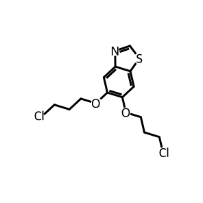 ClCCCOc1cc2ncsc2cc1OCCCCl